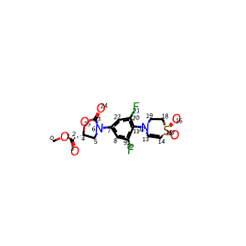 COC(=O)[C@H]1CN(c2cc(F)c(N3C=CS(=O)(=O)CC3)c(F)c2)C(=O)O1